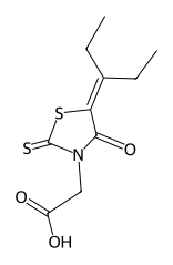 CCC(CC)=C1SC(=S)N(CC(=O)O)C1=O